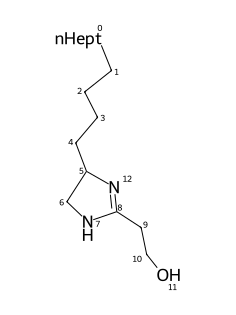 CCCCCCCCCCCC1CNC(CCO)=N1